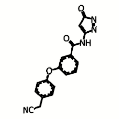 N#CCc1ccc(Oc2cccc(C(=O)NC3=CC(=O)N=N3)c2)cc1